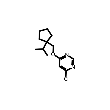 CC(C)C1(COc2cc(Cl)ncn2)CCCC1